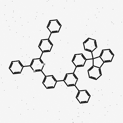 c1ccc(-c2ccc(-c3cc(-c4ccccc4)nc(-c4cccc(-c5cc(-c6ccccc6)cc(-c6cccc(C7(c8ccccc8)c8ccccc8-c8ccccc87)c6)c5)c4)n3)cc2)cc1